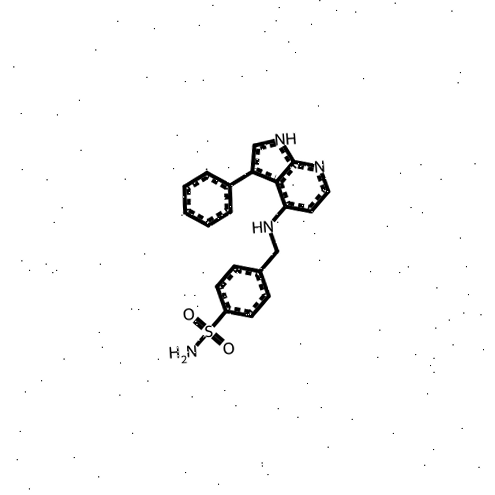 NS(=O)(=O)c1ccc(CNc2ccnc3[nH]cc(-c4[c]cccc4)c23)cc1